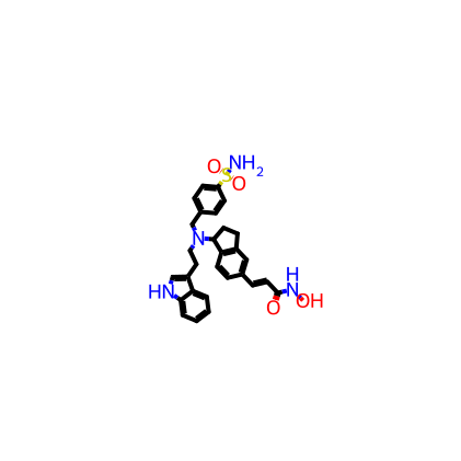 NS(=O)(=O)c1ccc(CN(CCc2c[nH]c3ccccc23)C2CCc3cc(C=CC(=O)NO)ccc32)cc1